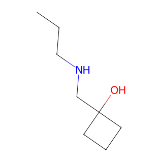 CCCNCC1(O)CCC1